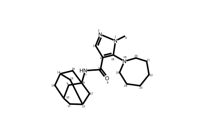 Cn1ncc(C(=O)NC23CC4CC(CC(C4)C2)C3)c1N1CCCCCC1